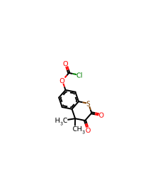 CC1(C)C(=O)C(=O)Sc2cc(OC(=O)Cl)ccc21